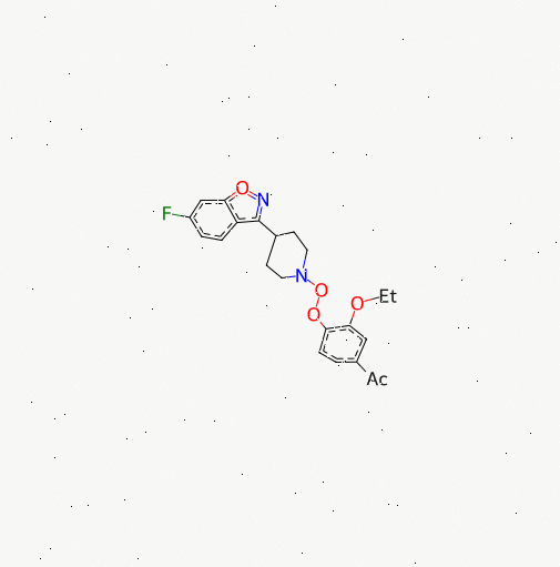 CCOc1cc(C(C)=O)ccc1OON1CCC(c2noc3cc(F)ccc23)CC1